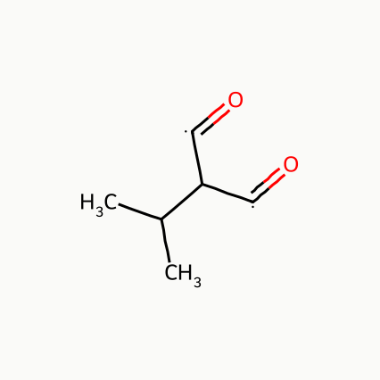 CC(C)C([C]=O)[C]=O